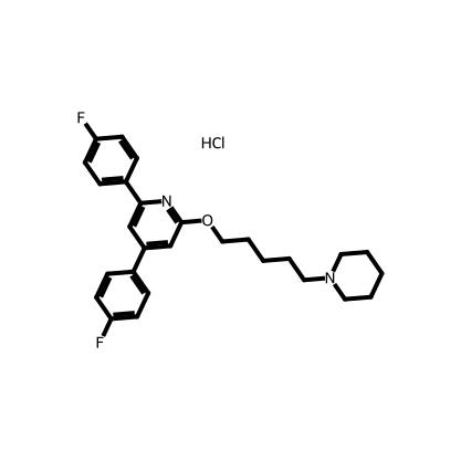 Cl.Fc1ccc(-c2cc(OCCCCCN3CCCCC3)nc(-c3ccc(F)cc3)c2)cc1